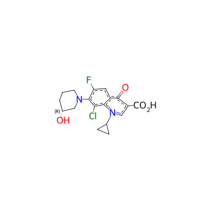 O=C(O)c1cn(C2CC2)c2c(Cl)c(N3CCC[C@@H](O)C3)c(F)cc2c1=O